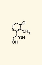 CC1=C(C(O)CO)SCCC1=O